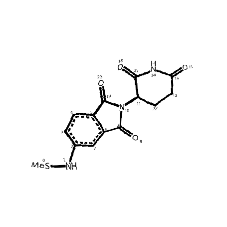 CSNc1ccc2c(c1)C(=O)N(C1CCC(=O)NC1=O)C2=O